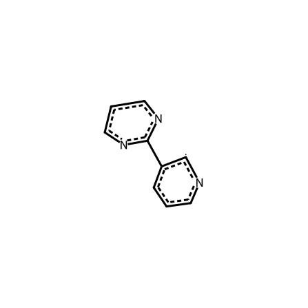 [c]1ncccc1-c1ncccn1